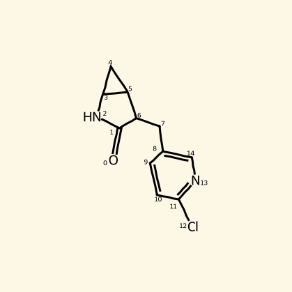 O=C1NC2CC2C1Cc1ccc(Cl)nc1